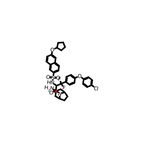 NC1CC2CCC(C1)N2C(=O)C(NS(=O)(=O)c1ccc2cc(OC3CCCC3)ccc2c1)C(F)(F)c1ccc(Oc2ccc(Cl)cc2)cc1